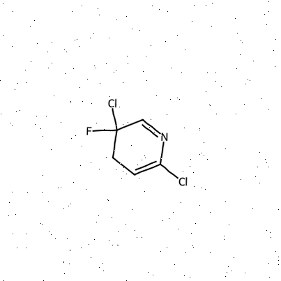 FC1(Cl)C=NC(Cl)=CC1